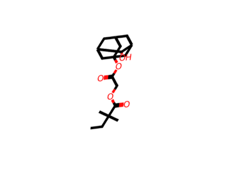 CCC(C)(C)C(=O)OCC(=O)OC12CC3CC(C1)C(O)C(C3)C2